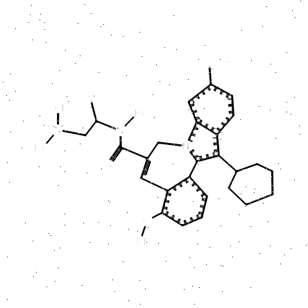 CCC(CN(C)CC)N(CC)C(=O)C1=Cc2c(OC(F)(F)F)cccc2-c2c(C3CCCCC3)c3ccc(C(=O)O)cc3n2C1